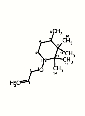 C=CCON1CCC(C)C(C)(C)C1(C)C